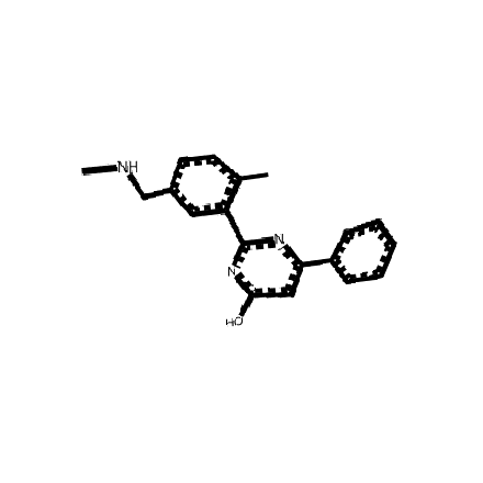 CNCc1ccc(C)c(-c2nc(O)cc(-c3ccccc3)n2)c1